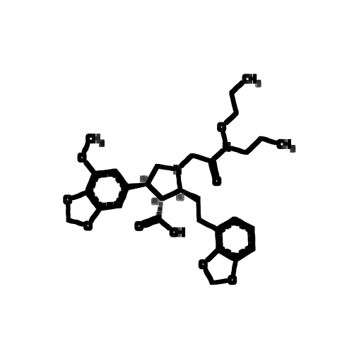 CCCON(CCC)C(=O)CN1C[C@H](c2cc(OC)c3c(c2)OCO3)[C@@H](C(=O)O)[C@@H]1CCc1cccc2c1OCO2